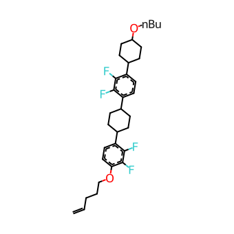 C=CCCCOc1ccc(C2CCC(c3ccc(C4CCC(OCCCC)CC4)c(F)c3F)CC2)c(F)c1F